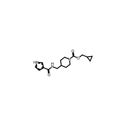 O=C(NCC1CCN(C(=O)OCC2CC2)CC1)c1cc[nH]c1